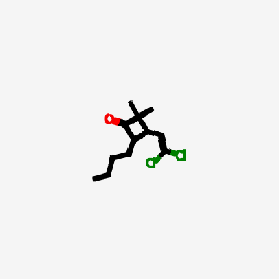 CCCCC1C(=O)C(C)(C)C1C=C(Cl)Cl